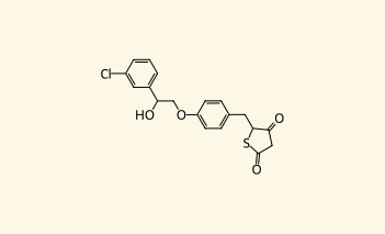 O=C1CC(=O)C(Cc2ccc(OCC(O)c3cccc(Cl)c3)cc2)S1